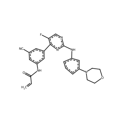 C=CC(=O)Nc1cc(C#N)cc(-c2nc(Nc3cccc(N4CCOCC4)c3)ncc2F)c1